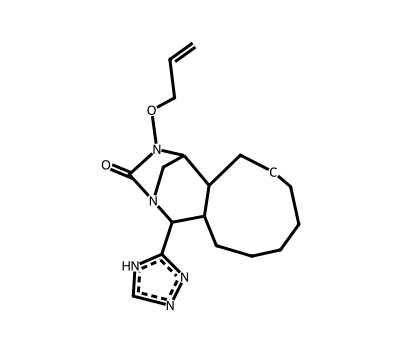 C=CCON1C(=O)N2CC1C1CCCCCCCC1C2c1nnc[nH]1